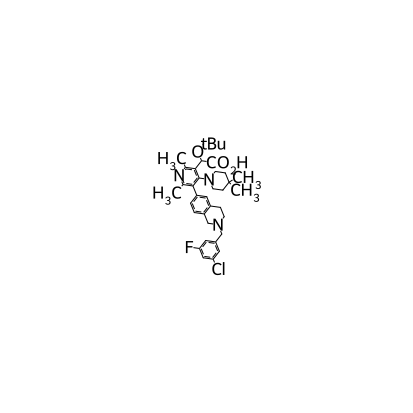 Cc1nc(C)c(C(OC(C)(C)C)C(=O)O)c(N2CCC(C)(C)CC2)c1-c1ccc2c(c1)CCN(Cc1cc(F)cc(Cl)c1)C2